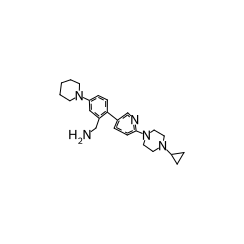 NCc1cc(N2CCCCC2)ccc1-c1ccc(N2CCN(C3CC3)CC2)nc1